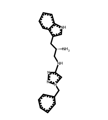 N[C@H](CNc1cn(Cc2ccccc2)nn1)Cc1c[nH]c2ccccc12